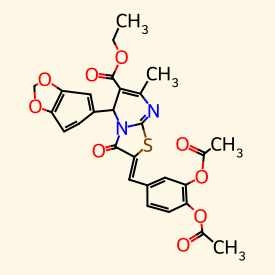 CCOC(=O)C1=C(C)N=c2s/c(=C\c3ccc(OC(C)=O)c(OC(C)=O)c3)c(=O)n2C1c1ccc2c(c1)OCO2